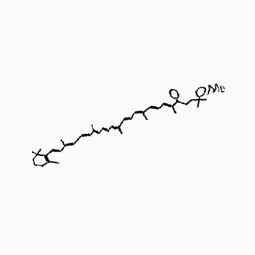 COC(C)(C)CCC(=O)/C(C)=C/C=C/C(C)=C/C=C/C(C)=C/C=C/C=C(C)/C=C/C=C(C)/C=C/C1=C(C)CCCC1(C)C